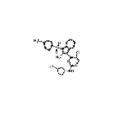 Cc1ccc(S(=O)(=O)n2c(C)c(-c3nc(NC4CC[C@@H](N)C4)ncc3Cl)c3ccccc32)cc1